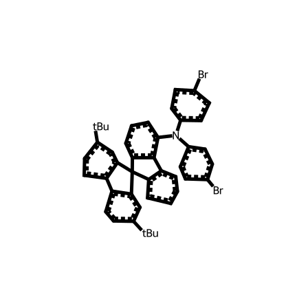 CC(C)(C)c1ccc2c(c1)C1(c3cc(C(C)(C)C)ccc3-2)c2ccccc2-c2c(N(c3ccc(Br)cc3)c3ccc(Br)cc3)cccc21